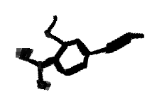 CC#Cc1ccc(B(O)O)c(OC)c1